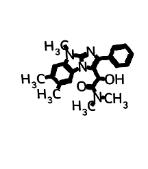 Cc1cc2c(cc1C)n1c(C(O)C(=O)N(C)C)c(-c3ccccc3)nc1n2C